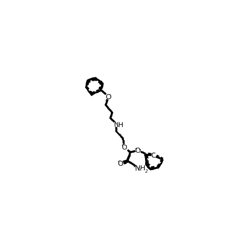 NC(=O)C(OCCNCCCOc1ccccc1)Oc1ccccc1